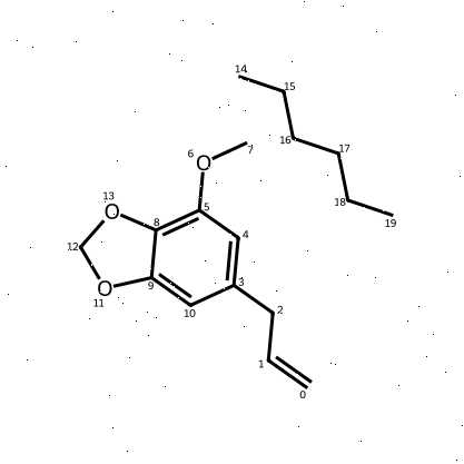 C=CCc1cc(OC)c2c(c1)OCO2.CCCCCC